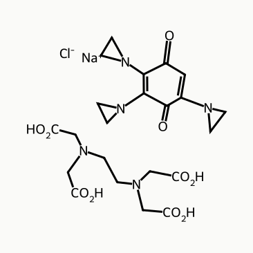 O=C(O)CN(CCN(CC(=O)O)CC(=O)O)CC(=O)O.O=C1C=C(N2CC2)C(=O)C(N2CC2)=C1N1CC1.[Cl-].[Na+]